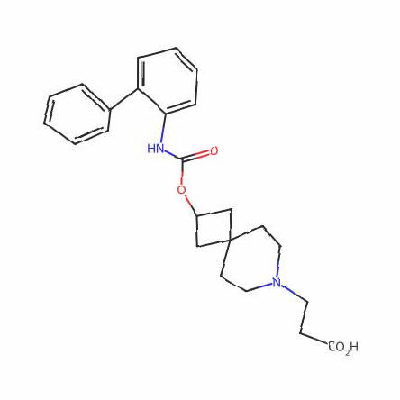 O=C(O)CCN1CCC2(CC1)CC(OC(=O)Nc1ccccc1-c1ccccc1)C2